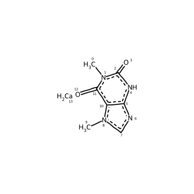 Cn1c(=O)[nH]c2ncn(C)c2c1=O.[CaH2]